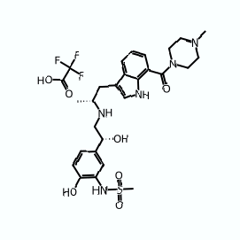 C[C@H](Cc1c[nH]c2c(C(=O)N3CCN(C)CC3)cccc12)NC[C@H](O)c1ccc(O)c(NS(C)(=O)=O)c1.O=C(O)C(F)(F)F